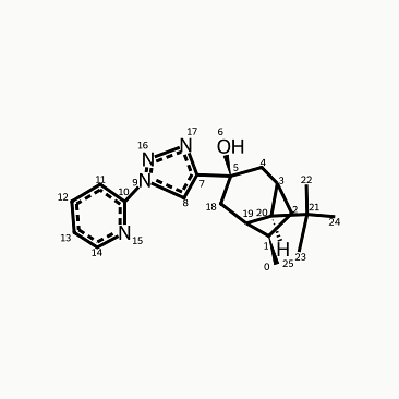 C[C@@H]1CC2C[C@@](O)(c3cn(-c4ccccn4)nn3)CC1[C@@H]2C(C)(C)C